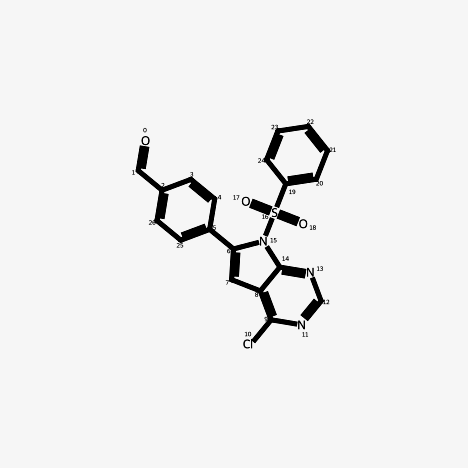 O=Cc1ccc(-c2cc3c(Cl)ncnc3n2S(=O)(=O)c2ccccc2)cc1